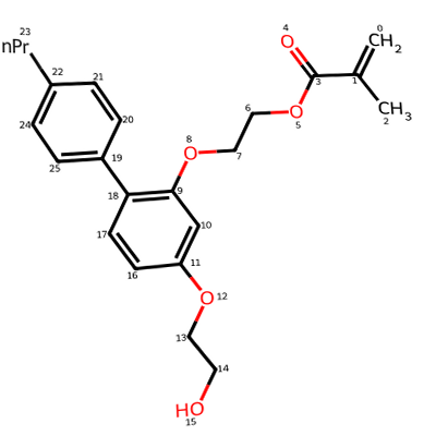 C=C(C)C(=O)OCCOc1cc(OCCO)ccc1-c1ccc(CCC)cc1